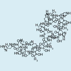 C[C@H](NC(=O)[C@H](CO)NC(=O)[C@H](Cc1c[nH]cn1)NC(=O)[C@@H](NC(=O)[C@H](CO)NC(=O)[C@H](Cc1c[nH]cn1)NC(=O)[C@H](C)NC(=O)[C@H](CO)NC(=O)[C@@H](N)Cc1c[nH]cn1)[C@@H](C)O)C(=O)N[C@@H](Cc1c[nH]cn1)C(=O)N[C@@H](CO)C(=O)N[C@H](C(=O)N[C@@H](Cc1c[nH]cn1)C(=O)N[C@@H](CO)C(=O)N[C@H](C(=O)N[C@@H](Cc1c[nH]cn1)C(=O)N[C@@H](CO)C(=O)N[C@@H](C)C(=O)N[C@@H](Cc1c[nH]cn1)C(=O)N[C@@H](CO)C(=O)O)[C@@H](C)O)[C@@H](C)O